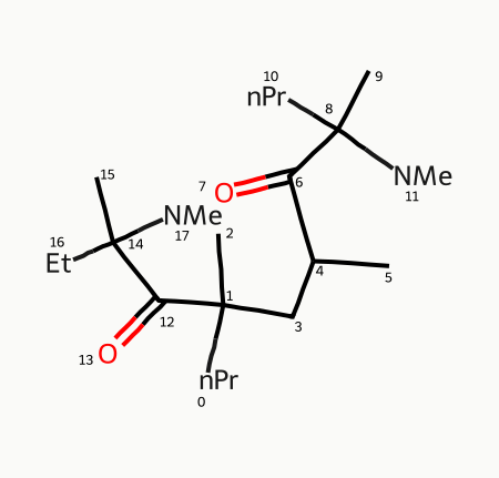 CCCC(C)(CC(C)C(=O)C(C)(CCC)NC)C(=O)C(C)(CC)NC